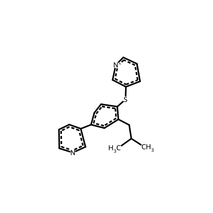 CC(C)Cc1cc(-c2cccnc2)ccc1Sc1cccnc1